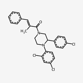 C/C(=C\c1ccccc1)C(=O)N1CCN(c2ccc(Cl)cc2Cl)C(c2ccc(Cl)cc2)C1